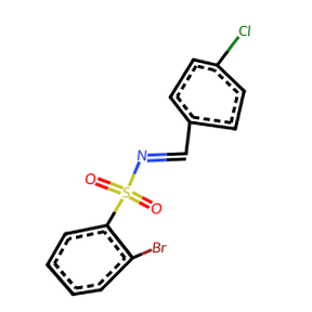 O=S(=O)(/N=C/c1ccc(Cl)cc1)c1ccccc1Br